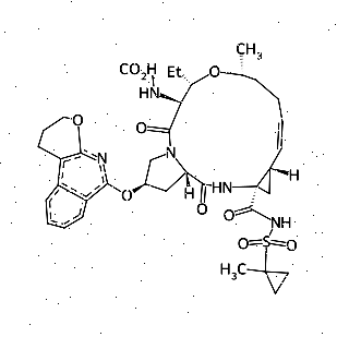 CC[C@@H]1O[C@H](C)CCC=C[C@@H]2C[C@@]2(C(=O)NS(=O)(=O)C2(C)CC2)NC(=O)[C@@H]2C[C@@H](Oc3nc4c(c5ccccc35)CCCO4)CN2C(=O)[C@H]1NC(=O)O